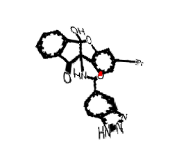 CC(C)c1ccc2c(c1)OC1(O)c3ccccc3C(=O)C21NC(=O)c1ccc2[nH]nnc2c1